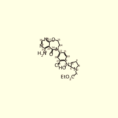 CCOC(=O)CN1CCC2C1[N+]2(O)c1ccc(N2CCOc3ncnc(N)c3C2=O)cc1Cl